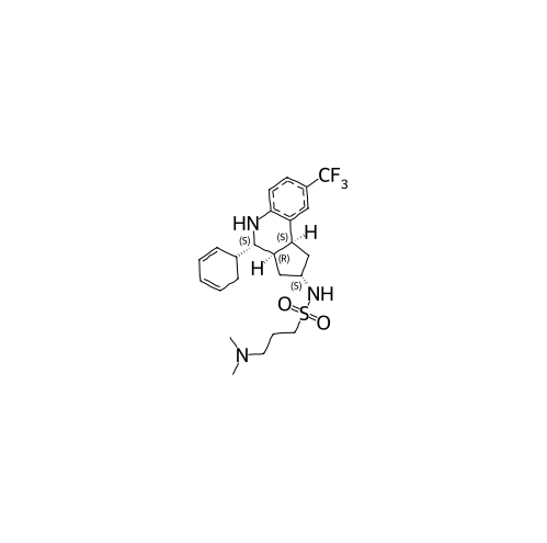 CN(C)CCCS(=O)(=O)N[C@@H]1C[C@@H]2[C@H](C1)c1cc(C(F)(F)F)ccc1N[C@H]2C1C=CC=CC1